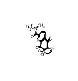 CN(C)C(=O)c1ccc2c(n1)C(=O)C1=C(NCCS1(=O)=O)C2=O